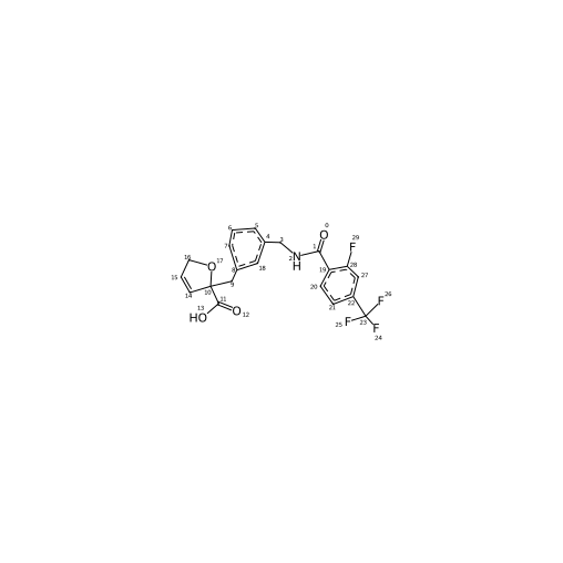 O=C(NCc1cccc(CC2(C(=O)O)C=CCO2)c1)c1ccc(C(F)(F)F)cc1F